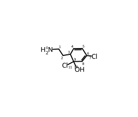 NCCC1C=CC(Cl)=CC1(O)Cl